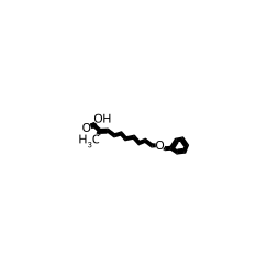 C/C(=C\CCCCCCCOCc1ccccc1)C(=O)O